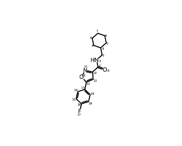 O=C(NCC1CCCCC1)c1cc(-c2ccc(F)cc2)on1